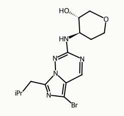 CC(C)Cc1nc(Br)c2cnc(N[C@@H]3CCOC[C@H]3O)nn12